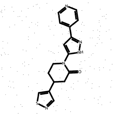 O=C1CC(c2cnsc2)CCN1c1cc(-c2ccncc2)n[nH]1